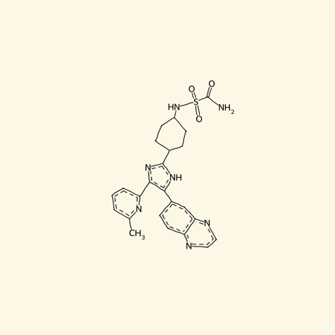 Cc1cccc(-c2nc(C3CCC(NS(=O)(=O)C(N)=O)CC3)[nH]c2-c2ccc3nccnc3c2)n1